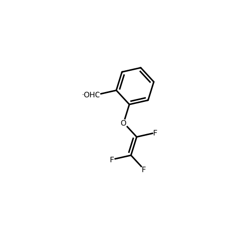 O=[C]c1ccccc1OC(F)=C(F)F